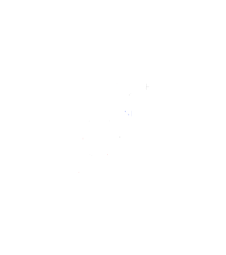 CCC(=O)NC1(C)C(C)(C)OC(=O)OC1(C)C